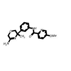 COc1ccc(C(=O)Nc2cccc(C3(C)COCC(N)=N3)c2)nc1